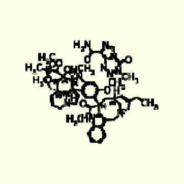 CCC1=C[C@@H]2C[N@](C1)Cc1c([nH]c3ccccc13)[C@@](C(=O)OC)(c1cc3c(cc1OC)N(C)[C@H]1[C@@](O)(C(=O)OC)[C@H](OC(C)=O)[C@]4(CC)C=CCN5CC[C@]31[C@@H]54)C2.Cn1nnc2c(C(N)=O)ncn2c1=O